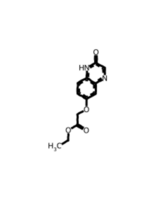 CCOC(=O)COc1ccc2[nH]c(=O)cnc2c1